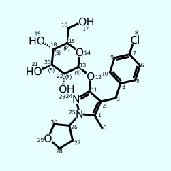 Cc1c(Cc2ccc(Cl)cc2)c(O[C@@H]2O[C@H](CO)[C@@H](O)[C@H](O)[C@H]2O)nn1C1CCOC1